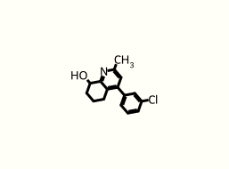 Cc1cc(-c2cccc(Cl)c2)c2c(n1)C(O)CCC2